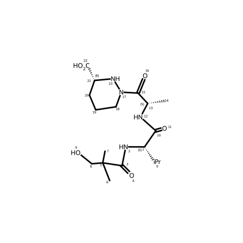 CC(C)[C@H](NC(=O)C(C)(C)CO)C(=O)N[C@@H](C)C(=O)N1CCC[C@H](C(=O)O)N1